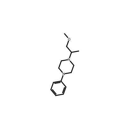 COCC(C)N1CCN(c2cc[c]cc2)CC1